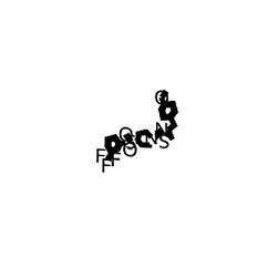 COc1ccc(Cc2csc(N3CCC(S(=O)(=O)c4cccc(C(F)(F)F)c4)CC3)n2)cc1